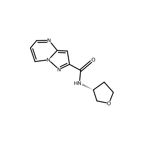 O=C(N[C@@H]1CCOC1)c1cc2ncccn2n1